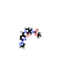 C[C@@H](c1ccc(-n2cc(F)cn2)nc1)N1CCC2(CN(C(=O)OC(C)(C)C)C2)C1=O